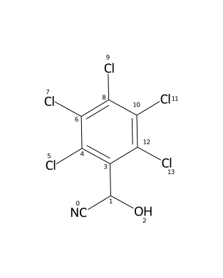 N#CC(O)c1c(Cl)c(Cl)c(Cl)c(Cl)c1Cl